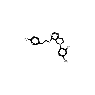 Cc1ccc(N2CCc3ncnc(NCCc4ccc(C(F)(F)F)nc4)c3C2)c(C#N)c1